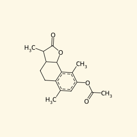 CC(=O)Oc1cc(C)c2c(c1C)C1OC(=O)C(C)C1CC2